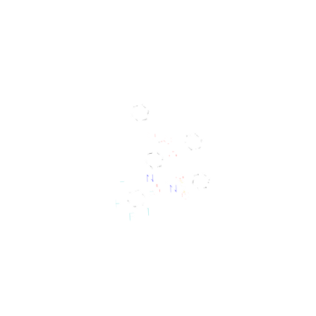 Cc1cc(C)c(S(=O)(=O)N(C)CC(=O)N(Cc2c(F)c(F)c(F)c(F)c2F)c2ccc(C(=O)OCc3ccccc3)c(OCc3ccccc3)c2)c(C)c1